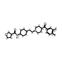 O=C(NC1CCC(CCN2CCC(C(=O)c3ccc(F)c(F)c3)CC2)CC1)C1CCOC1